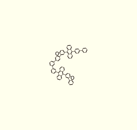 c1ccc(-c2ccc(-c3c4ccccc4c(-c4ccc5oc6cc(-c7cccc(-c8cccc(-c9c%10ccccc%10c(-c%10ccc%11oc%12ccccc%12c%11c%10)c%10ccccc9%10)c8)c7)ccc6c5c4)c4ccccc34)cc2)cc1